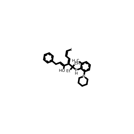 CCC(C)(Pc1c(C)cccc1N1CCCCC1)C(=C/C=C\I)/C(O)=C/Cc1ccccc1